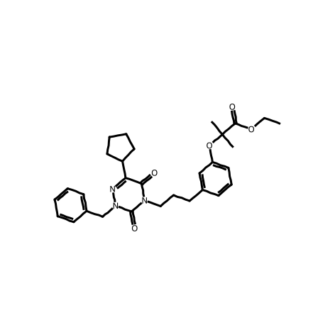 CCOC(=O)C(C)(C)Oc1cccc(CCCn2c(=O)c(C3CCCC3)nn(Cc3ccccc3)c2=O)c1